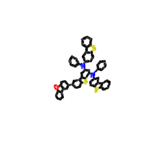 c1ccc(N(c2ccc3sc4ccccc4c3c2)c2cc(N(c3ccccc3)c3ccc4sc5ccccc5c4c3)c3sc4ccc(-c5ccc6oc7ccccc7c6c5)cc4c3c2)cc1